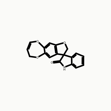 O=C1Nc2ccccc2C12COc1cc3c(cc12)OCC=CO3